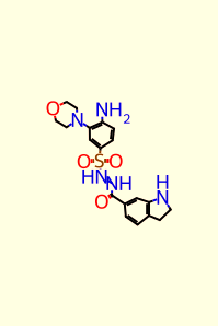 Nc1ccc(S(=O)(=O)NNC(=O)c2ccc3c(c2)NCC3)cc1N1CCOCC1